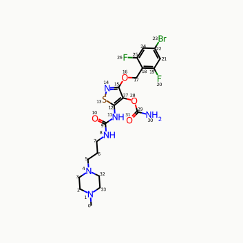 CN1CCN(CCCNC(=O)Nc2snc(OCc3c(F)cc(Br)cc3F)c2OC(N)=O)CC1